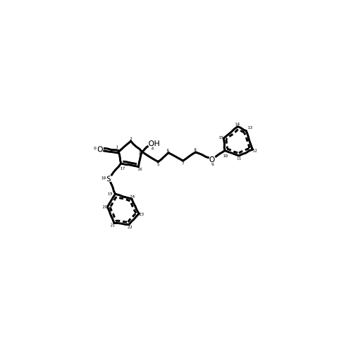 O=C1CC(O)(CCCCOc2ccccc2)C=C1Sc1ccccc1